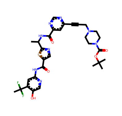 CC(NC(=O)c1cc(C#CCN2CCN(C(=O)OC(C)(C)C)CC2)ncn1)c1ncc(C(=O)Nc2cc(C(C)(F)F)c(O)cn2)s1